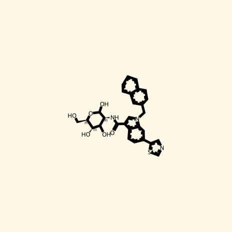 O=C(N[C@H]1C(O)O[C@H](CO)[C@@H](O)C1O)c1cn(Cc2ccc3ccccc3c2)c2cc(-c3cncs3)ccc12